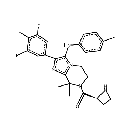 CC1(C)c2nc(-c3cc(F)c(F)c(F)c3)c(Nc3ccc(F)cc3)n2CCN1C(=O)[C@@H]1CCN1